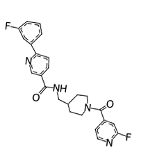 O=C(NCC1CCN(C(=O)c2ccnc(F)c2)CC1)c1ccc(-c2cccc(F)c2)nc1